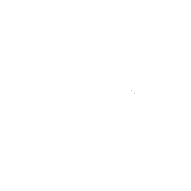 C#CC1COP(=O)(N(C)C)OC1